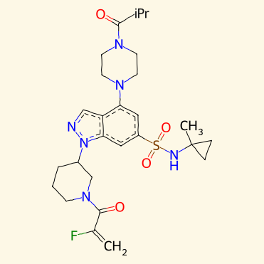 C=C(F)C(=O)N1CCCC(n2ncc3c(N4CCN(C(=O)C(C)C)CC4)cc(S(=O)(=O)NC4(C)CC4)cc32)C1